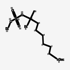 CCCCCCCCCCCCCCCCC(C)(CC)OS(=O)(=O)OCC